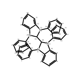 c1ccc(N2c3ccccc3N(c3ccccc3)C2C2N(c3ccccc3)c3ccccc3N2c2ccccc2)cc1